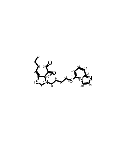 CCCC=C1SCN(CCCCSc2cccc3nccn23)C1C(=O)C=O